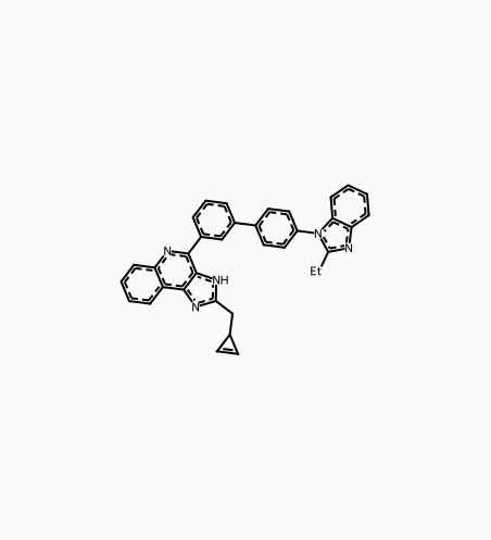 CCc1nc2ccccc2n1-c1ccc(-c2cccc(-c3nc4ccccc4c4nc(CC5C=C5)[nH]c34)c2)cc1